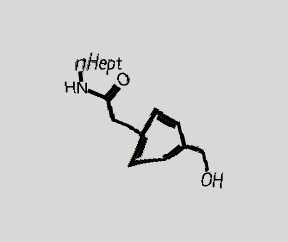 CCCCCCCNC(=O)Cc1ccc(CO)cc1